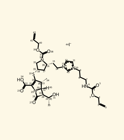 C=CCOC(=O)NCCCn1cc[n+](CC[C@@H]2C[C@H](SC3=C(C(=O)O)N4C(=O)[C@H]([C@@H](C)O)[C@H]4[C@H]3C)CN2C(=O)OCC=C)c1.[I-]